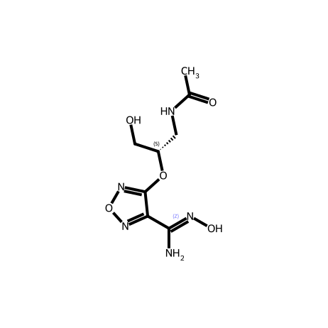 CC(=O)NC[C@@H](CO)Oc1nonc1/C(N)=N/O